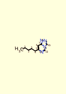 CCCCCc1cc2nncn2cn1